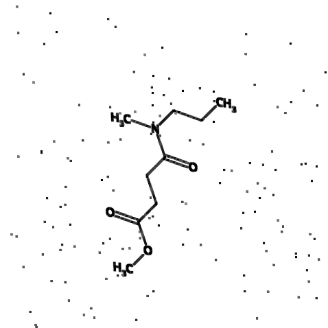 CCCN(C)C(=O)CCC(=O)OC